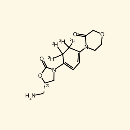 [2H]C1([2H])C(N2CCOCC2=O)=CC=C(N2C[C@H](CN)OC2=O)C1([2H])[2H]